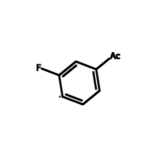 CC(=O)c1cc[c]c(F)c1